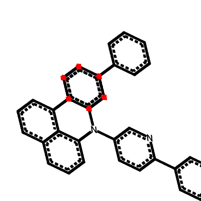 c1ccc(-c2cccc(N(c3ccc(-c4ccccc4)nc3)c3cccc4cccc(-c5ccccc5)c34)c2)cc1